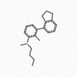 CCCCN(C)c1cccc(-c2cccc3c2CCC3)c1C